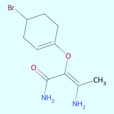 C/C(N)=C(\OC1=CCC(Br)CC1)C(N)=O